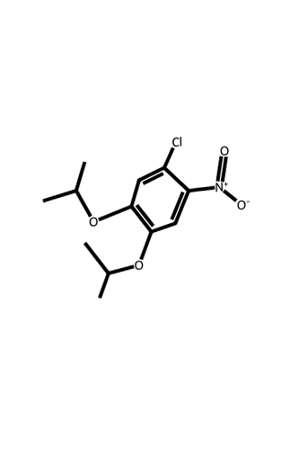 CC(C)Oc1cc(Cl)c([N+](=O)[O-])cc1OC(C)C